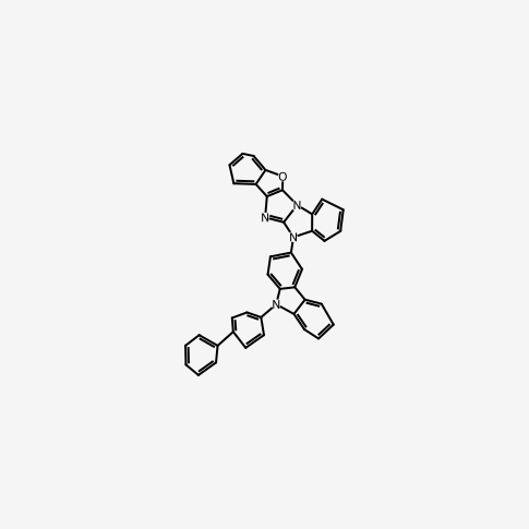 c1ccc(-c2ccc(-n3c4ccccc4c4cc(-n5c6ccccc6n6c7oc8ccccc8c7nc56)ccc43)cc2)cc1